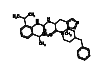 CC(C)c1cccc(C(C)C)c1NC(=O)NC(Cc1cncn1C)C(=O)N1CCC(Cc2ccccc2)CC1